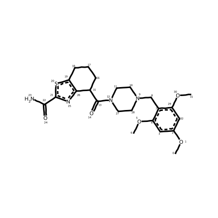 COc1cc(OC)c(CN2CCN(C(=O)C3CCCc4sc(C(N)=O)nc43)CC2)c(OC)c1